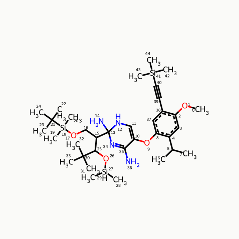 COc1cc(C(C)C)c(OC2=CNC(N)(C(CO[Si](C)(C)C(C)(C)C)C(O[SiH](C)C)C(C)(C)C)N=C2N)cc1C#C[Si](C)(C)C